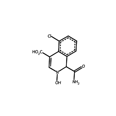 NC(=O)C1c2cccc(Cl)c2C(C(=O)O)=CN1O